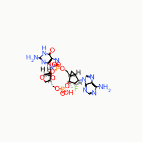 C[C@]12OP(=O)(O)OC[C@@]34CO[C@@H]([C@H](n5cnc6c(=O)[nH]c(N)nc65)O3)[C@@H]4OP(=O)(O)OC[C@]13C[C@@H]3[C@@H](n1cnc3c(N)ncnc31)[C@@H]2F